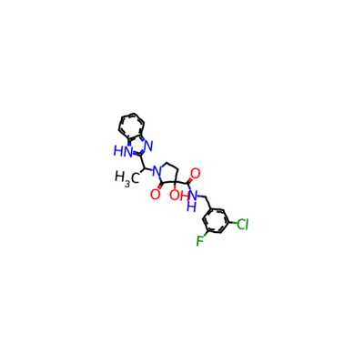 CC(c1nc2ccccc2[nH]1)N1CCC(O)(C(=O)NCc2cc(F)cc(Cl)c2)C1=O